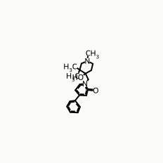 CN1CCC(O)(Cn2ccc(-c3ccccc3)cc2=O)C(C)(C)C1